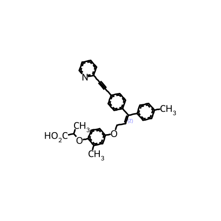 Cc1ccc(/C(=C/COc2ccc(OC(C)C(=O)O)c(C)c2)c2ccc(C#Cc3ccccn3)cc2)cc1